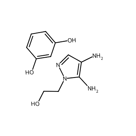 Nc1cnn(CCO)c1N.Oc1cccc(O)c1